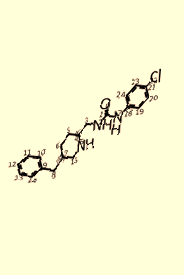 O=C(NC[C@@H]1CC[C@H](Cc2ccccc2)CN1)Nc1ccc(Cl)cc1